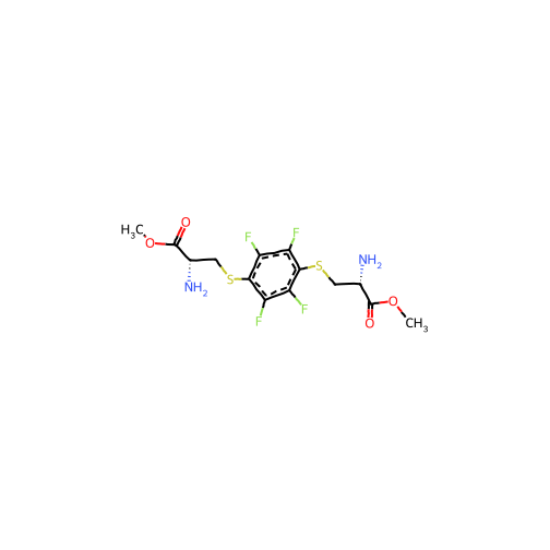 COC(=O)[C@@H](N)CSc1c(F)c(F)c(SC[C@H](N)C(=O)OC)c(F)c1F